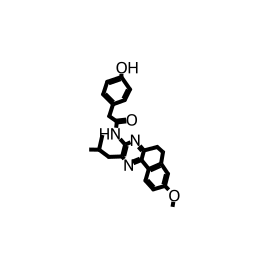 COc1ccc2c(c1)CCc1nc(NC(=O)Cc3ccc(O)cc3)c(CC(C)C)nc1-2